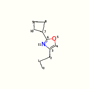 CCCc1coc(C2CCC2)n1